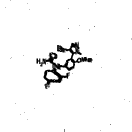 COc1ccc(N(C(N)=O)c2ccc(F)cc2F)cc1-c1c(Br)cnn1C